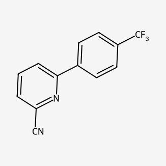 N#Cc1cccc(-c2ccc(C(F)(F)F)cc2)n1